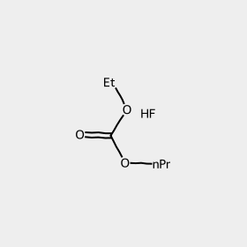 CCCOC(=O)OCC.F